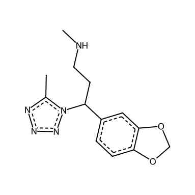 CNCCC(c1ccc2c(c1)OCO2)n1nnnc1C